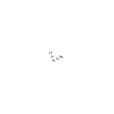 [Ag].[Cd].[Cu].[Ni].[Zn]